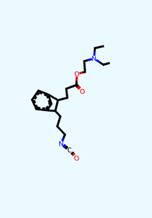 CCN(CC)CCOC(=O)CCC1c2cccc(c2)C1CCCN=C=O